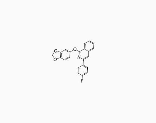 Fc1ccc(-c2cc3ccccc3c(Oc3ccc4c(c3)OCO4)n2)cc1